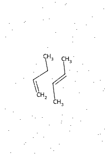 C/C=C/C.C=CCC